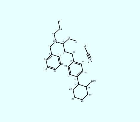 CC#N.CCCN(Cc1ccccc1)C(CC)CCc1ccc(C2CCCCC2F)cc1